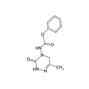 CC1=NNC(=O)N(NC(=O)Oc2ccccc2)C1